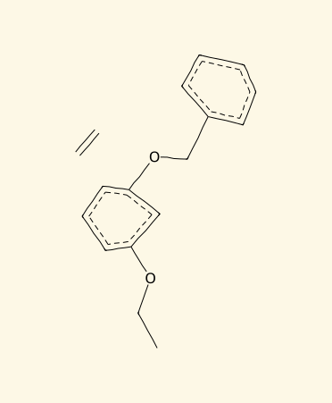 C=C.CCOc1cccc(OCc2ccccc2)c1